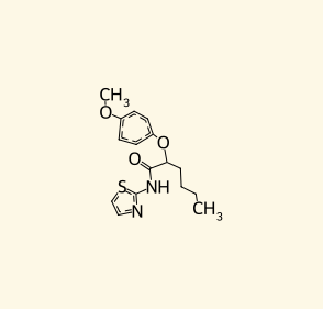 CCCCC(Oc1ccc(OC)cc1)C(=O)Nc1nccs1